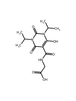 CC(C)n1c(O)c(C(=O)NCC(=O)O)c(=O)n(C(C)C)c1=O